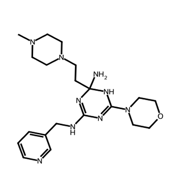 CN1CCN(CCC2(N)N=C(NCc3cccnc3)N=C(N3CCOCC3)N2)CC1